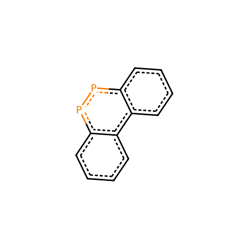 c1ccc2c(c1)ppc1ccccc12